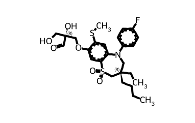 CCCC[C@]1(CC)CN(c2ccc(F)cc2)c2cc(SC)c(OC[C@@](O)(C=O)CO)cc2S(=O)(=O)C1